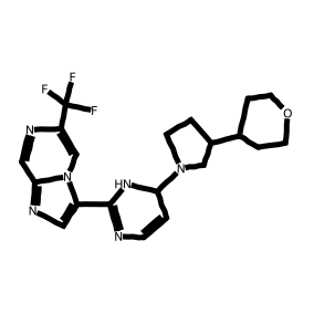 FC(F)(F)c1cn2c(C3=NC=CC(N4CCC(C5CCOCC5)C4)N3)cnc2cn1